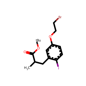 CC(Cc1cc(OCCBr)ccc1I)C(=O)OC(C)(C)C